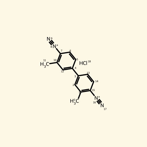 Cc1cc(-c2ccc([N+]#N)c(C)c2)ccc1[N+]#N.Cl